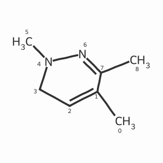 CC1=CCN(C)N=C1C